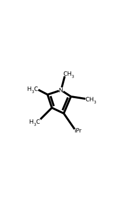 Cc1c(C(C)C)c(C)n(C)c1C